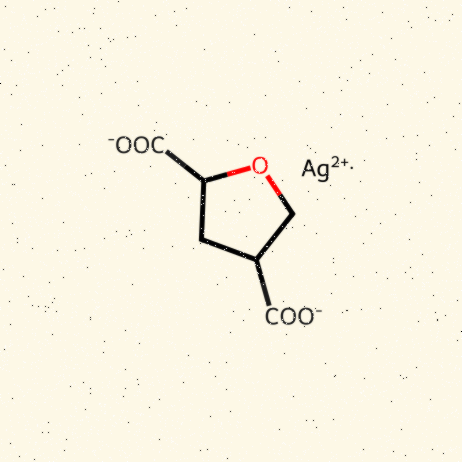 O=C([O-])C1COC(C(=O)[O-])C1.[Ag+2]